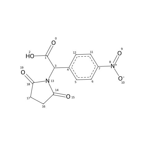 O=C(O)C(c1ccc([N+](=O)[O-])cc1)N1C(=O)CCC1=O